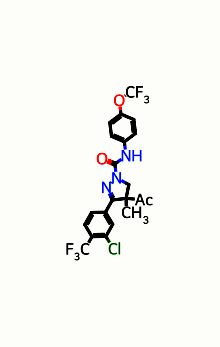 CC(=O)C1(C)CN(C(=O)Nc2ccc(OC(F)(F)F)cc2)N=C1c1ccc(C(F)(F)F)c(Cl)c1